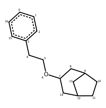 c1ccc(CCOC2CC3CCC(C3)C2)cc1